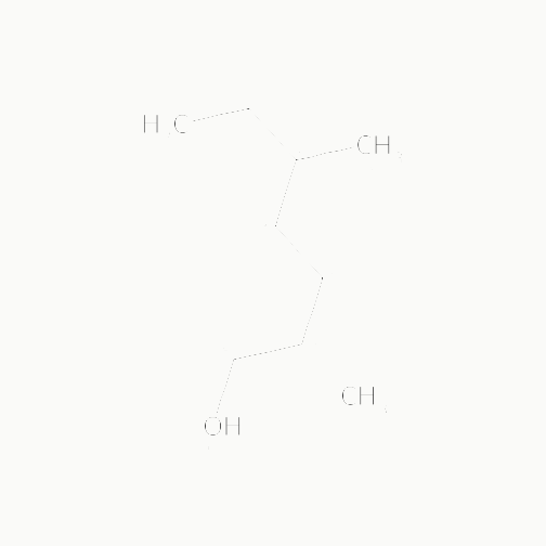 CCC(C)CC[C@H](C)CO